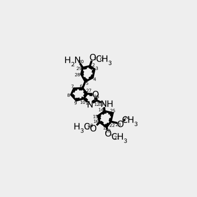 COc1ccc(-c2cccc3nc(Nc4cc(OC)c(OC)c(OC)c4)oc23)cc1N